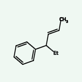 CC=CC(CC)c1ccccc1